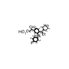 CCN(c1ccc(C(C)CC(=O)O)cc1Nc1ccc(F)cc1)C1CCOCC1